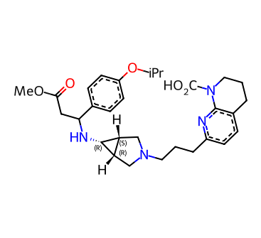 COC(=O)CC(N[C@@H]1[C@@H]2CN(CCCc3ccc4c(n3)N(C(=O)O)CCC4)C[C@@H]21)c1ccc(OC(C)C)cc1